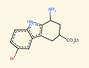 CCOC(=O)C1Cc2c([nH]c3ccc(Br)cc23)C(N)C1